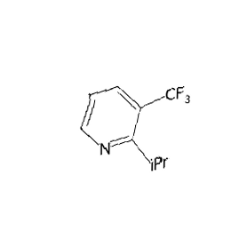 CC(C)c1ncccc1C(F)(F)F